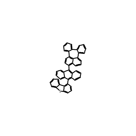 c1ccc2c(c1)-c1ccccc1-c1ccc(-c3c4ccccc4c(-c4cccc5sc6ccccc6c45)c4ccccc34)c3cccc-2c13